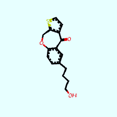 O=C1c2cc(CCCCO)ccc2OCc2sccc21